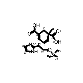 CC1(C(=O)O)C=CC=C(C(=O)O)C1.C[Si](C)(C)OCCc1ncc[nH]1